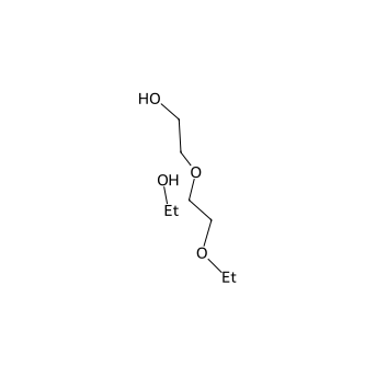 CCO.CCOCCOCCO